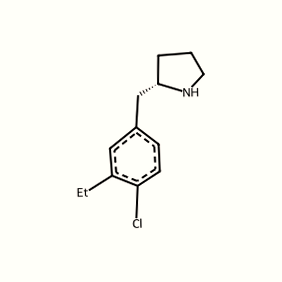 CCc1cc(C[C@@H]2CCCN2)ccc1Cl